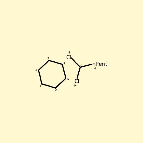 C1CCCCC1.CCCCCC(Cl)Cl